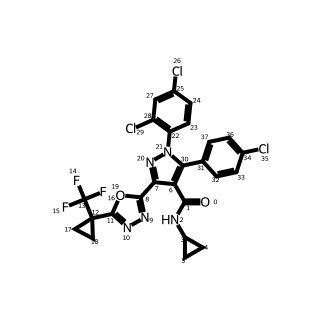 O=C(NC1CC1)c1c(-c2nnc(C3(C(F)(F)F)CC3)o2)nn(-c2ccc(Cl)cc2Cl)c1-c1ccc(Cl)cc1